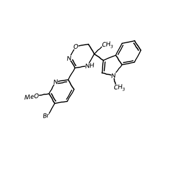 COc1nc(C2=NOCC(C)(c3cn(C)c4ccccc34)N2)ccc1Br